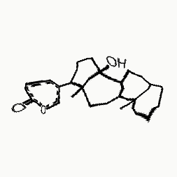 CC12CCCCC1CCC1C2CCC2(C)C(c3ccc(=O)oc3)CCC12O